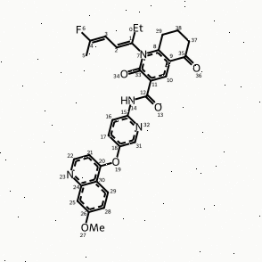 CC/C(=C\C=C(/C)F)n1c2c(cc(C(=O)Nc3ccc(Oc4ccnc5cc(OC)ccc45)cn3)c1=O)C(=O)CCC2